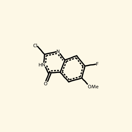 COc1cc2c(=O)[nH]c(Cl)nc2cc1F